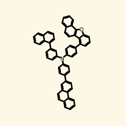 c1cc(-c2cccc3ccccc23)cc(N(c2ccc(-c3ccc4c(ccc5ccccc54)c3)cc2)c2ccc(-c3cccc4oc5c6ccccc6ccc5c34)cc2)c1